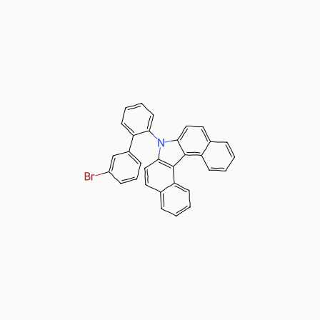 Brc1cccc(-c2ccccc2-n2c3ccc4ccccc4c3c3c4ccccc4ccc32)c1